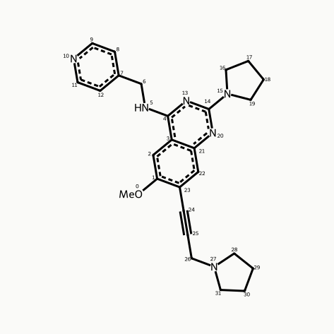 COc1cc2c(NCc3ccncc3)nc(N3CCCC3)nc2cc1C#CCN1CCCC1